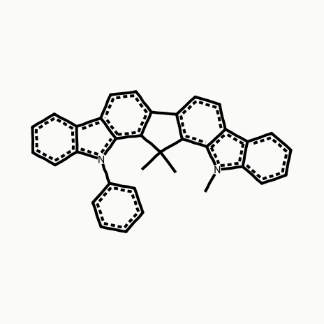 Cn1c2ccccc2c2ccc3c(c21)C(C)(C)c1c-3ccc2c3ccccc3n(-c3ccccc3)c12